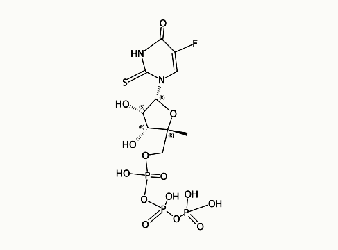 C[C@]1(COP(=O)(O)OP(=O)(O)OP(=O)(O)O)O[C@@H](n2cc(F)c(=O)[nH]c2=S)[C@@H](O)[C@H]1O